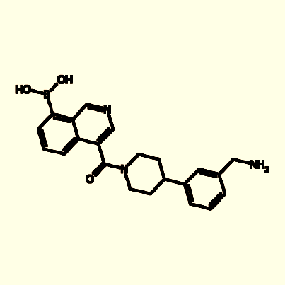 NCc1cccc(C2CCN(C(=O)c3cncc4c(B(O)O)cccc34)CC2)c1